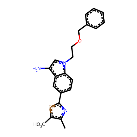 Cc1nc(-c2ccc3c(c2)c(N)cn3CCOCc2ccccc2)sc1C(=O)O